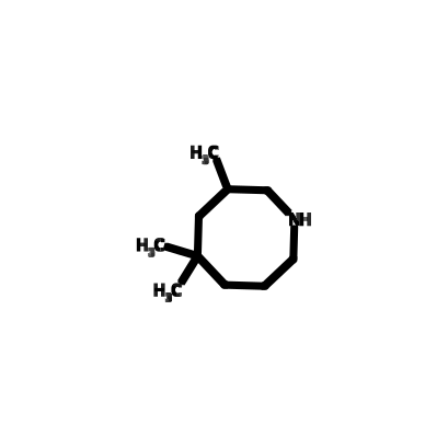 CC1CNCCCC(C)(C)C1